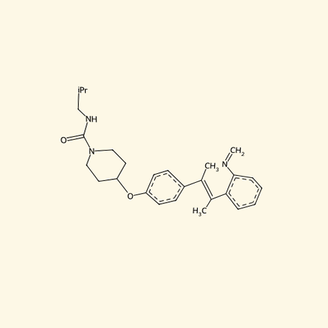 C=Nc1ccccc1/C(C)=C(\C)c1ccc(OC2CCN(C(=O)NCC(C)C)CC2)cc1